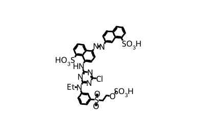 CCN(c1cccc(S(=O)(=O)CCOS(=O)(=O)O)c1)c1nc(Cl)nc(Nc2ccc(N=Nc3ccc4cccc(S(=O)(=O)O)c4c3)c3cccc(S(=O)(=O)O)c23)n1